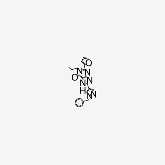 CCCn1c(-c2ccco2)nc2nc(-c3cnn(Cc4ccccc4)c3)[nH]c2c1=O